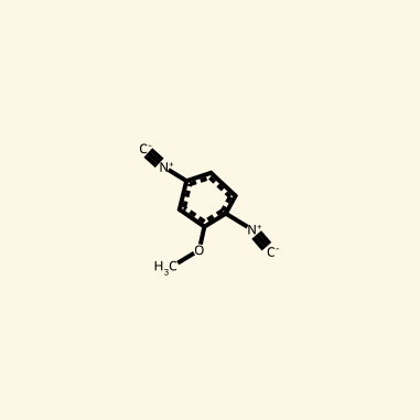 [C-]#[N+]c1ccc([N+]#[C-])c(OC)c1